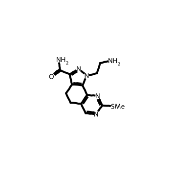 CSc1ncc2c(n1)-c1c(c(C(N)=O)nn1CCN)CC2